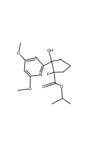 COc1cc(OC)nc(C2(O)CCCC2(F)C(=O)OC(C)C)n1